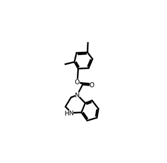 Cc1ccc(OC(=O)N2CCNc3ccccc32)c(C)c1